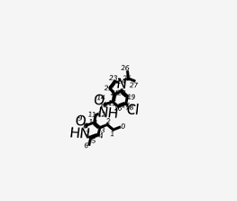 CCCc1cc(C)[nH]c(=O)c1CNC(=O)c1cc(Cl)cc2c1ccn2C(C)C